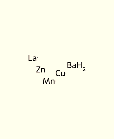 [BaH2].[Cu].[La].[Mn].[Zn]